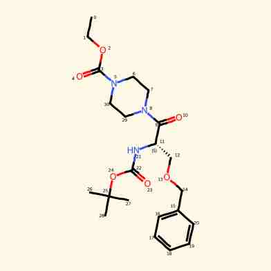 CCOC(=O)N1CCN(C(=O)[C@H](COCc2ccccc2)NC(=O)OC(C)(C)C)CC1